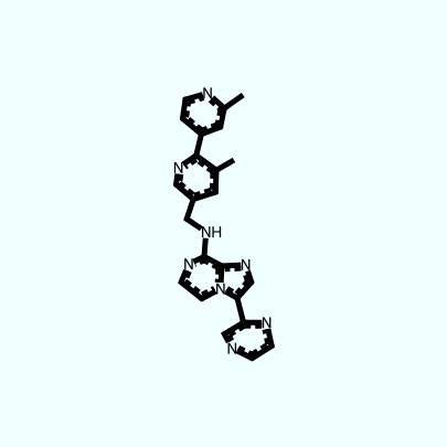 Cc1cc(-c2ncc(CNc3nccn4c(-c5cnccn5)cnc34)cc2C)ccn1